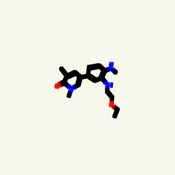 CCOCCNc1cc(-c2cc(C)c(=O)n(C)c2)ccc1NC